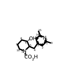 Cc1cc(CC2[C@@H](O)CCCN2C(=O)O)cc(C)n1